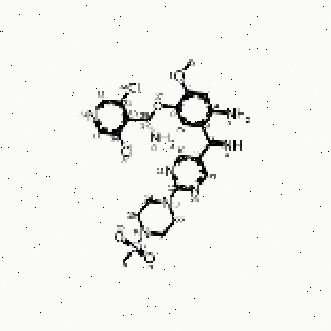 COc1cc(N)c(C(=N)c2cnc(N3CCN(S(C)(=O)=O)CC3)nc2)cc1O[C@H](N)c1c(Cl)cncc1Cl